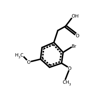 COc1cc(CC(=O)O)c(Br)c(OC)c1